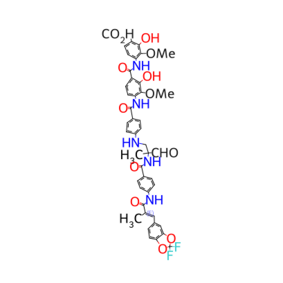 COc1c(NC(=O)c2ccc(NC(=O)c3ccc(NCC(C)(C=O)NC(=O)c4ccc(NC(=O)/C(C)=C/c5ccc6c(c5)OC(F)(F)O6)cc4)cc3)c(OC)c2O)ccc(C(=O)O)c1O